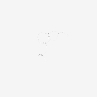 CC(=O)OC1=CCCC2=C1CC(N=O)S2